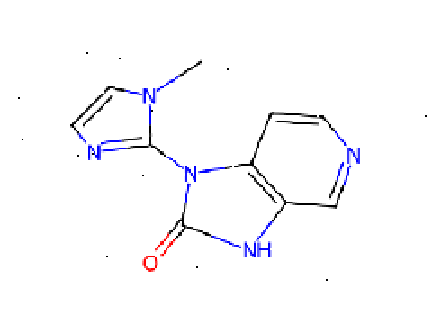 Cn1ccnc1-n1c(=O)[nH]c2cnccc21